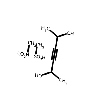 CC(=O)O.CC(O)C#CC(C)O.CS(=O)(=O)O